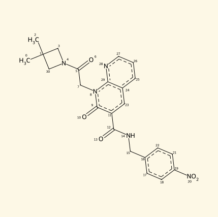 CC1(C)CN(C(=O)Cn2c(=O)c(C(=O)NCc3ccc([N+](=O)[O-])cc3)cc3cccnc32)C1